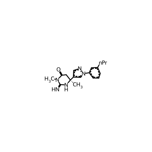 CCCc1cccc(-n2cc([C@]3(C)CC(=O)N(C)C(=N)N3)cn2)c1